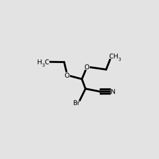 CCOC(OCC)C(Br)C#N